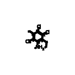 CCc1c(N)c(Cl)c(C)c(Cl)c1Cl